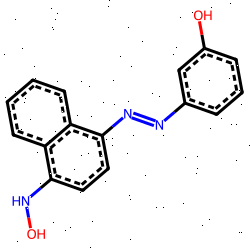 ONc1ccc(/N=N/c2cccc(O)c2)c2ccccc12